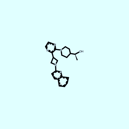 C[C@H](O)C1CCN(c2nccnc2C2CN(c3ccc4ccccc4n3)C2)CC1